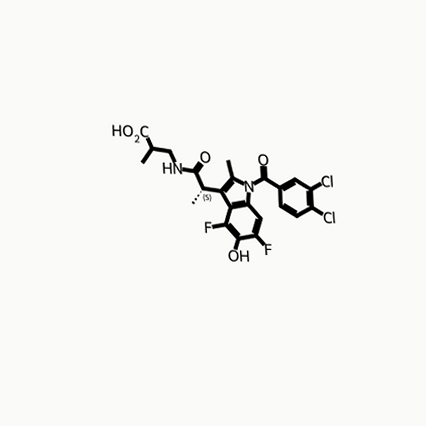 Cc1c([C@H](C)C(=O)NCC(C)C(=O)O)c2c(F)c(O)c(F)cc2n1C(=O)c1ccc(Cl)c(Cl)c1